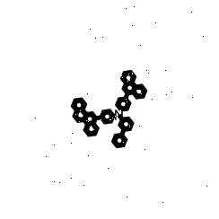 c1ccc(-c2cccc(N(c3ccc(-c4cc5ccccc5c5ccccc45)cc3)c3ccc(-c4cc5c6ccccc6ccc5c5ccccc45)cc3)c2)cc1